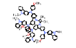 CCn1c2ccccc2c2cc(N(c3ccc(OC)cc3)c3ccc4c(c3)c3cc(N(c5ccc(OC)cc5)c5ccc6c(c5)c5ccccc5n6CC)ccc3n4C3C(C)C(C)C3n3c4ccc(N(c5ccc(OC)cc5)c5ccc6c(c5)c5ccccc5n6CC)cc4c4cc(N(c5ccc(OC)cc5)c5ccc6c(c5)c5ccccc5n6CC)ccc43)ccc21